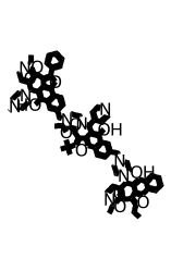 CCOC(=O)c1c(CC)oc2c1c(C(c1ccncc1)N1CCN(Cc3ccc4c(c3)c(O)c(C(c3ccncc3)N3CCN(Cc5ccc6c(c5)c(O)c(C(c5ccncc5)N5CCN(C)CC5)c5c(C(=O)OCC)c(-c7ccccc7)oc56)CC3)c3c(C(=O)OCC)c(C(C)(C)C)oc34)CC1)c(O)c1ccccc12